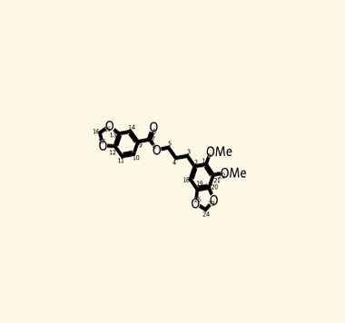 COc1c(CCCOC(=O)c2ccc3c(c2)OCO3)cc2c(c1OC)OCO2